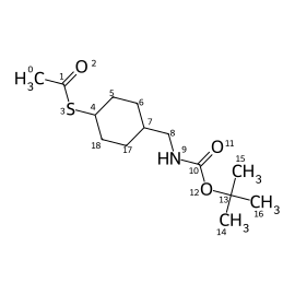 CC(=O)SC1CCC(CNC(=O)OC(C)(C)C)CC1